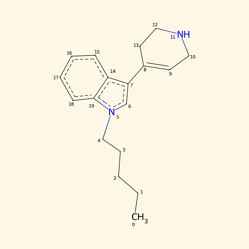 CCCCCn1cc(C2=CCNCC2)c2ccccc21